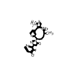 CC1CCCC(n2cnc(-c3nccc(Cl)c3F)cc2=O)c2cc(ccn2)-c2c(cnn2C)NC1=O